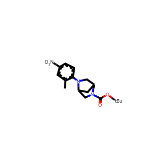 Cc1cc([N+](=O)[O-])ccc1N1CC2CC1CN2C(=O)OC(C)(C)C